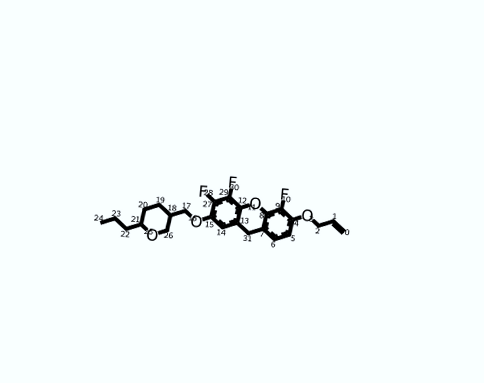 C=CCOc1ccc2c(c1F)Oc1c(cc(OCC3CCC(CCC)OC3)c(F)c1F)C2